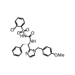 COc1ccc(Cn2ccnc2[C@H](Cc2ccccc2)NC(=O)NS(=O)(=O)c2ccccc2Cl)cc1